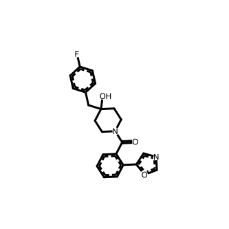 O=C(c1ccccc1-c1cnco1)N1CCC(O)(Cc2ccc(F)cc2)CC1